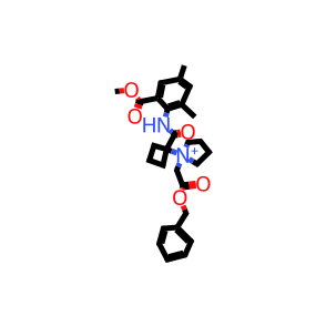 COC(=O)c1cc(C)cc(C)c1NC(=O)C1([N+]2(CC(=O)OCc3ccccc3)CCCC2)CCC1